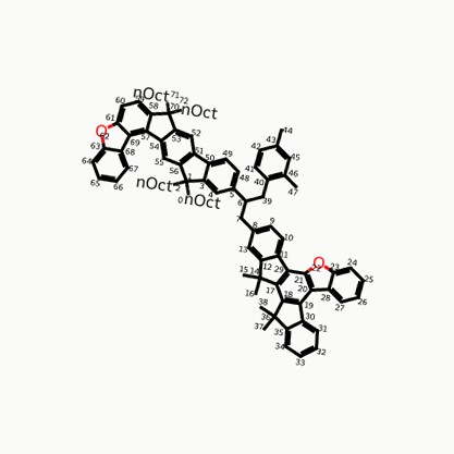 CCCCCCCCC1(CCCCCCCC)c2cc(C(Cc3ccc4c(c3)C(C)(C)c3c5c(c6c(oc7ccccc76)c3-4)-c3ccccc3C5(C)C)Cc3ccc(C)cc3C)ccc2-c2cc3c(cc21)-c1c(ccc2oc4ccccc4c12)C3(CCCCCCCC)CCCCCCCC